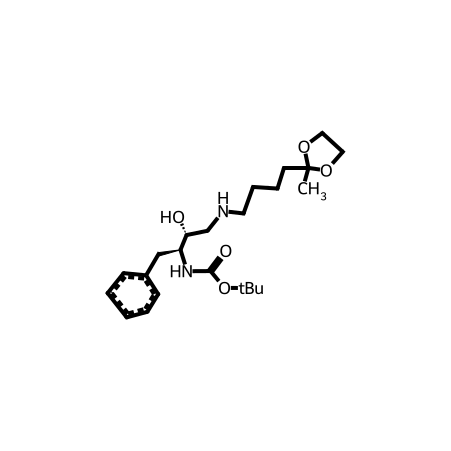 CC(C)(C)OC(=O)N[C@@H](Cc1ccccc1)[C@H](O)CNCCCCC1(C)OCCO1